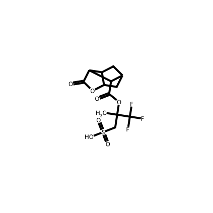 CC(CS(=O)(=O)O)(OC(=O)C1C2CC3OC(=O)C1C3C2)C(F)(F)F